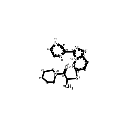 CC(Sc1ccc2nnc(-c3cnccn3)n2n1)C(=O)N1CCCCC1